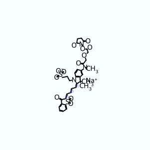 CN(C(=O)COCC(=O)ON1C(=O)CCC1=O)c1ccc2c(c1)C(C)(C)/C(=C/C=C/C=C1/C(=O)c3ccccc3S1(=O)=O)N2CCCS(=O)(=O)[O-].[Na+]